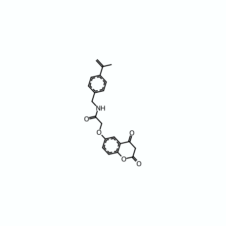 C=C(C)c1ccc(CNC(=O)COc2ccc3c(c2)C(=O)CC(=O)O3)cc1